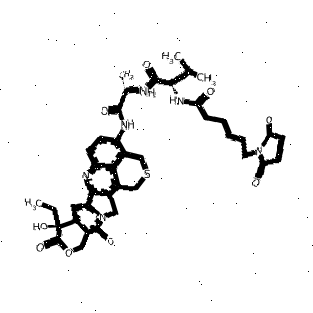 CC[C@@]1(O)C(=O)OCc2c1cc1n(c2=O)Cc2c-1nc1ccc(NC(=O)[C@H](C)NC(=O)[C@@H](NC(=O)CCCCCN3C(=O)C=CC3=O)C(C)C)c3c1c2CSC3